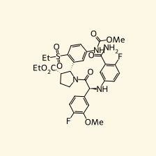 CCOC(=O)[C@H]1CCN(C(=O)[C@@H](Nc2ccc(F)c(C(N)=O)c2)c2ccc(F)c(OC)c2)[C@H]1c1cc(NC(=O)OC)ccc1S(=O)(=O)CC